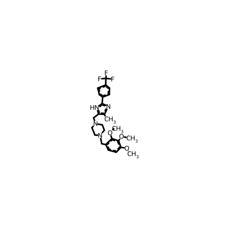 COc1ccc(CN2CCN(Cc3[nH]c(-c4ccc(C(F)(F)F)cc4)nc3C)CC2)c(OC)c1OC